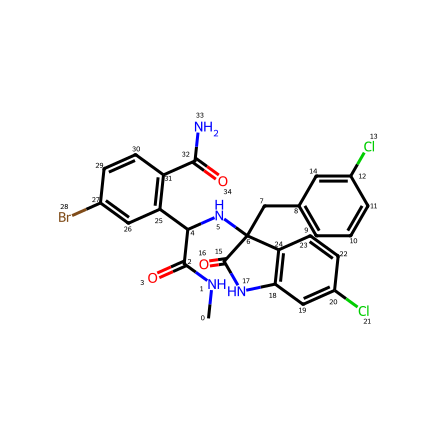 CNC(=O)C(NC1(Cc2cccc(Cl)c2)C(=O)Nc2cc(Cl)ccc21)c1cc(Br)ccc1C(N)=O